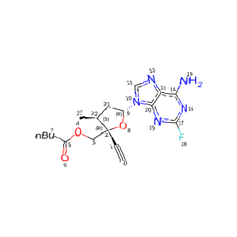 C#C[C@]1(COC(=O)CCCC)O[C@@H](n2cnc3c(N)nc(F)nc32)C[C@@H]1C